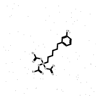 CCC(=O)O[Si](CCCCCCc1cccc(C(F)(F)F)c1)(OC(=O)CC)OC(=O)CC